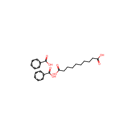 O=C(O)CCCCCCCCC(=O)O.O=C(O)c1ccccc1.O=C(O)c1ccccc1